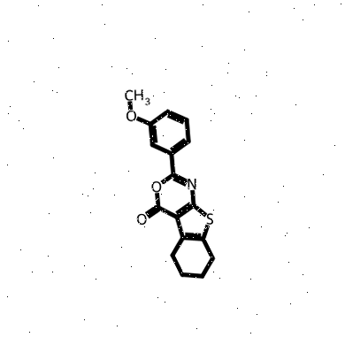 COc1cccc(-c2nc3sc4c(c3c(=O)o2)CCCC4)c1